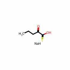 CCCC(=O)C(O)=S.[NaH]